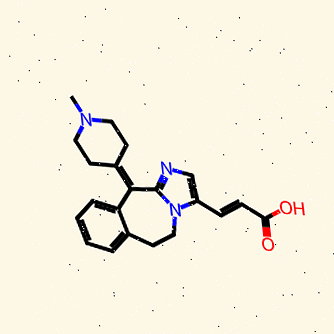 CN1CCC(=C2c3ccccc3CCn3c(/C=C/C(=O)O)cnc32)CC1